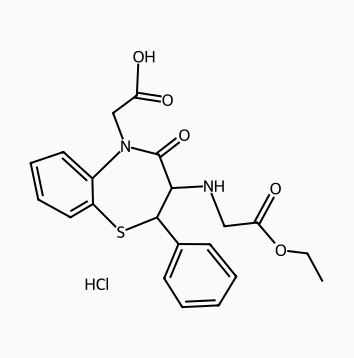 CCOC(=O)CNC1C(=O)N(CC(=O)O)c2ccccc2SC1c1ccccc1.Cl